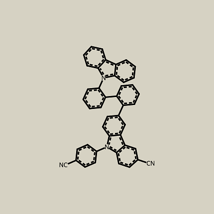 N#Cc1ccc(-n2c3ccc(C#N)cc3c3cc(-c4ccccc4-c4ccccc4-n4c5ccccc5c5ccccc54)ccc32)cc1